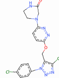 O=C1CN(c2ccc(OCc3c(Cl)nnn3-c3ccc(Cl)cc3)nn2)CCN1